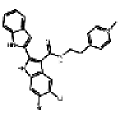 C[n+]1ccc(CCNC(=O)c2c(-c3cc4ccccc4[nH]3)[nH]c3cc(Br)c(Cl)cc23)cc1